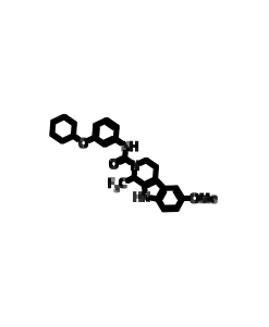 COc1ccc2[nH]c3c(c2c1)CCN(C(=O)Nc1cccc(OC2CCCCC2)c1)C3C(F)(F)F